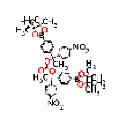 CC(OC(=O)OC(C)(c1ccc(B2OC(C)(C)C(C)(C)O2)cc1)c1ccc([N+](=O)[O-])cc1)(c1ccc(B2OC(C)(C)C(C)(C)O2)cc1)c1ccc([N+](=O)[O-])cc1